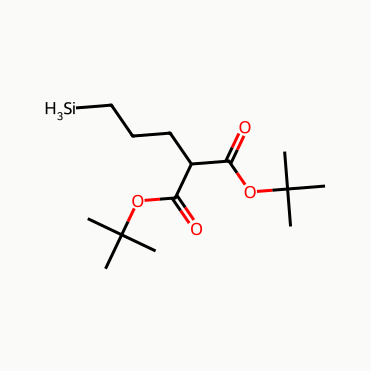 CC(C)(C)OC(=O)C(CCC[SiH3])C(=O)OC(C)(C)C